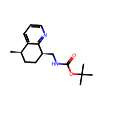 C[C@@H]1CC[C@H](CNC(=O)OC(C)(C)C)c2ncccc21